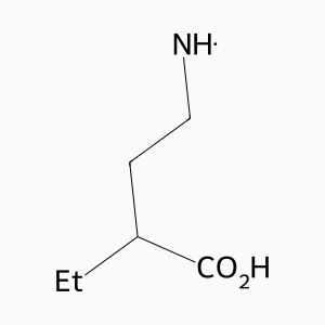 [CH2]CC(CC[NH])C(=O)O